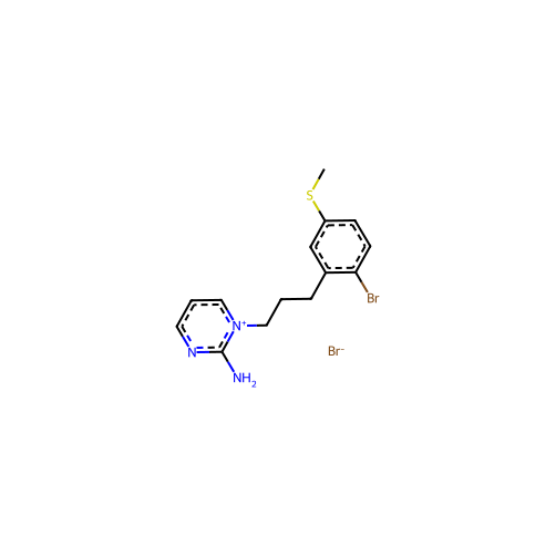 CSc1ccc(Br)c(CCC[n+]2cccnc2N)c1.[Br-]